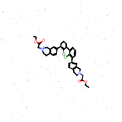 CCOC(=O)CN1CCc2ccc(-c3cccc(-c4cccc(-c5ccc6c(c5)CN(CC(=O)OCC)CC6)c4Cl)c3Cl)cc2C1